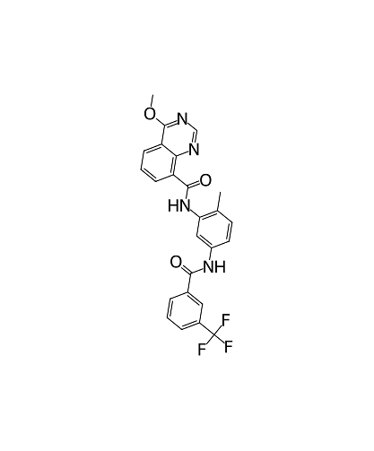 COc1ncnc2c(C(=O)Nc3cc(NC(=O)c4cccc(C(F)(F)F)c4)ccc3C)cccc12